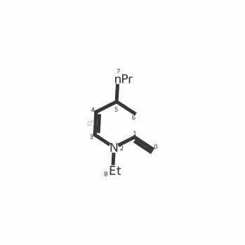 C=CN(/C=C\C(C)CCC)CC